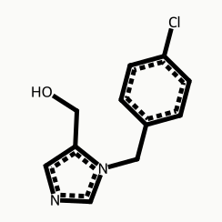 OCc1cncn1Cc1ccc(Cl)cc1